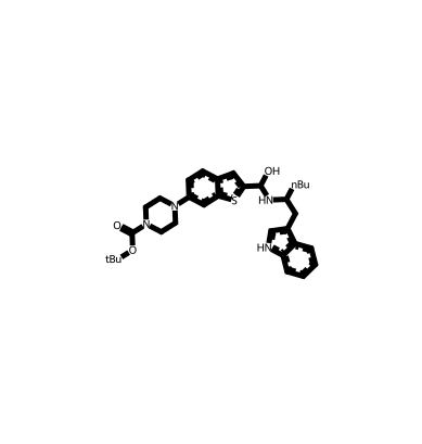 CCCCC(Cc1c[nH]c2ccccc12)NC(O)c1cc2ccc(N3CCN(C(=O)OC(C)(C)C)CC3)cc2s1